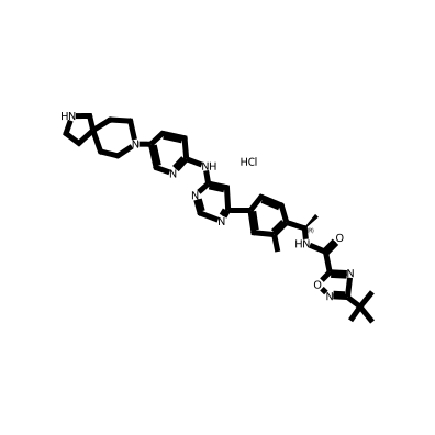 Cc1cc(-c2cc(Nc3ccc(N4CCC5(CCNC5)CC4)cn3)ncn2)ccc1[C@@H](C)NC(=O)c1nc(C(C)(C)C)no1.Cl